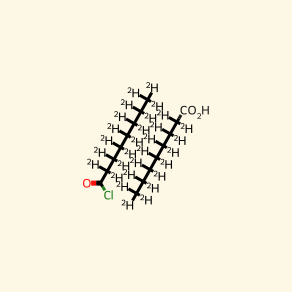 [2H]C([2H])([2H])C([2H])([2H])C([2H])([2H])C([2H])([2H])C([2H])([2H])C([2H])([2H])C([2H])([2H])C(=O)Cl.[2H]C([2H])([2H])C([2H])([2H])C([2H])([2H])C([2H])([2H])C([2H])([2H])C([2H])([2H])C([2H])([2H])C(=O)O